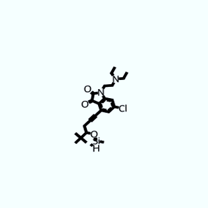 CCN(CC)CCN1C(=O)C(=O)c2c(C#CCC(O[SiH](C)C)C(C)(C)C)cc(Cl)cc21